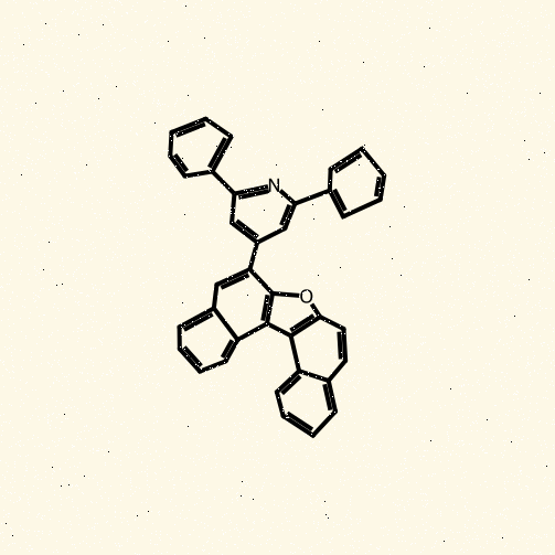 c1ccc(-c2cc(-c3cc4ccccc4c4c3oc3ccc5ccccc5c34)cc(-c3ccccc3)n2)cc1